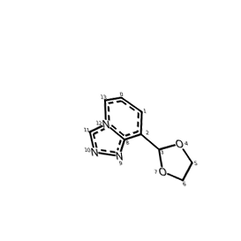 c1cc(C2OCCO2)c2nncn2c1